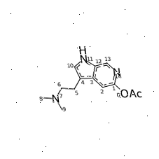 CC(=O)Oc1cc2c(CCN(C)C)c[nH]c2cn1